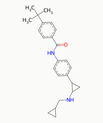 CC(C)(C)c1ccc(C(=O)Nc2ccc(C3CC3NCC3CC3)cc2)cc1